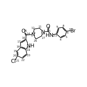 O=C(Nc1ccc(Br)cc1)N1CCN(C(=O)c2cc3cc(Cl)ccc3[nH]2)CC1